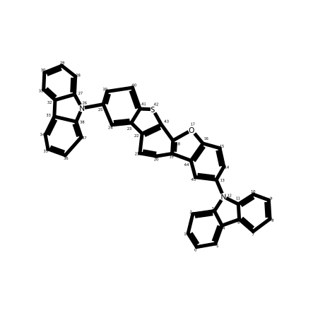 c1ccc2c(c1)c1ccccc1n2-c1ccc2oc3c(ccc4c5cc(-n6c7ccccc7c7ccccc76)ccc5sc43)c2c1